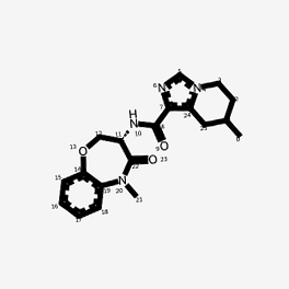 CC1CCn2cnc(C(=O)N[C@H]3COc4ccccc4N(C)C3=O)c2C1